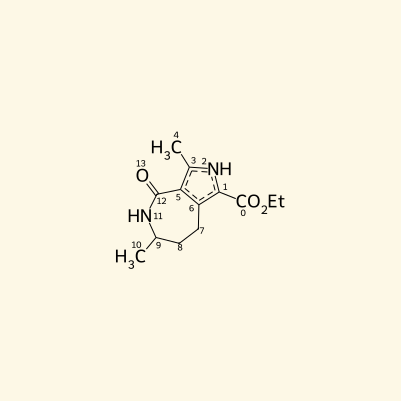 CCOC(=O)c1[nH]c(C)c2c1CCC(C)NC2=O